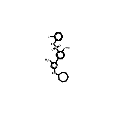 COc1ccc(-c2sc(NC3CCCCCC3)nc2C)cc1S(=O)(=O)Nc1ccccc1Cl